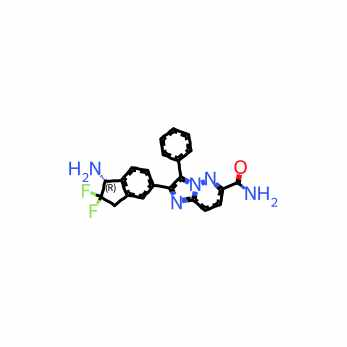 NC(=O)c1ccc2nc(-c3ccc4c(c3)CC(F)(F)[C@@H]4N)c(-c3ccccc3)n2n1